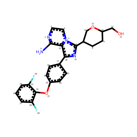 Nc1nccn2c(C3CCC(CO)OC3)nc(-c3ccc(Oc4c(F)cccc4F)cc3)c12